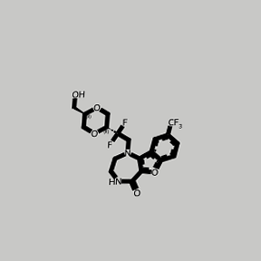 O=C1NCCN(CC(F)(F)[C@H]2CO[C@H](CO)CO2)c2c1oc1ccc(C(F)(F)F)cc21